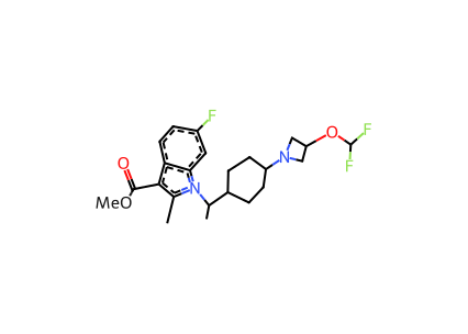 COC(=O)c1c(C)n(C(C)C2CCC(N3CC(OC(F)F)C3)CC2)c2cc(F)ccc12